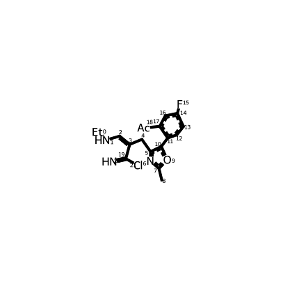 CCN/C=C(/Cc1nc(C)oc1-c1ccc(F)cc1C(C)=O)C(=N)Cl